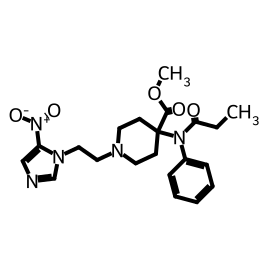 CCC(=O)N(c1ccccc1)C1(C(=O)OC)CCN(CCn2cncc2[N+](=O)[O-])CC1